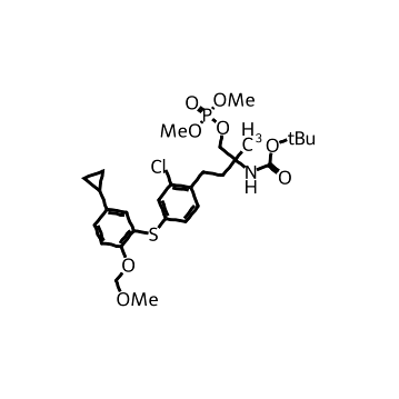 COCOc1ccc(C2CC2)cc1Sc1ccc(CCC(C)(COP(=O)(OC)OC)NC(=O)OC(C)(C)C)c(Cl)c1